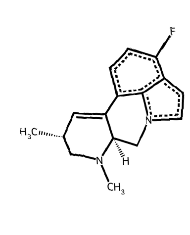 C[C@@H]1C=C2c3ccc(F)c4ccn(c34)C[C@H]2N(C)C1